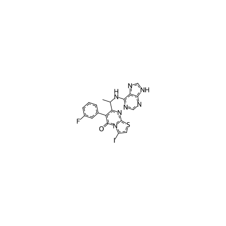 CC(Nc1ncnc2[nH]cnc12)c1nc2scc(I)n2c(=O)c1-c1cccc(F)c1